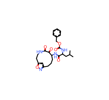 CC(C)CC(NC(=O)OCc1ccccc1)C(=O)NC1CCCc2cc(on2)CCNC(=O)C1=O